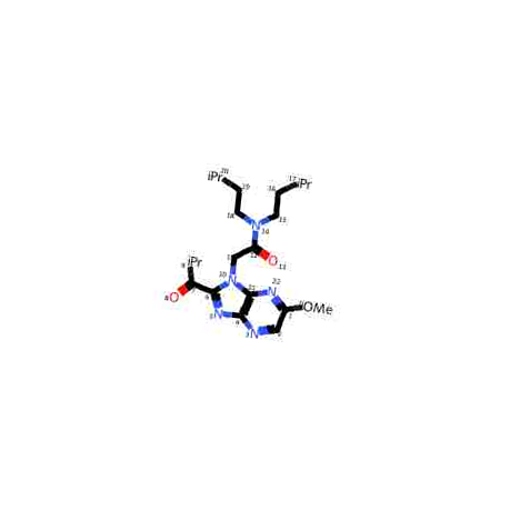 COc1cnc2nc(C(=O)C(C)C)n(CC(=O)N(CCC(C)C)CCC(C)C)c2n1